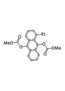 CCc1cccc2c(OC(=O)OC)c3ccccc3c(OC(=O)OC)c12